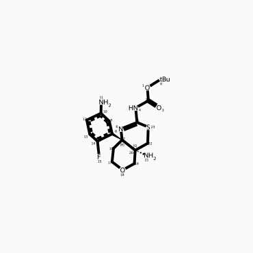 CC(C)(C)OC(=O)NC1=N[C@@]2(c3cc(N)ccc3F)CCOC[C@]2(N)CS1